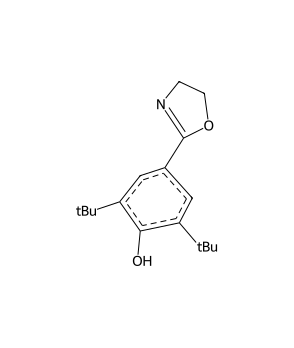 CC(C)(C)c1cc(C2=NCCO2)cc(C(C)(C)C)c1O